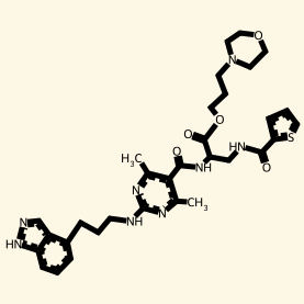 Cc1nc(NCCCc2cccc3[nH]ncc23)nc(C)c1C(=O)NC(CNC(=O)c1cccs1)C(=O)OCCCN1CCOCC1